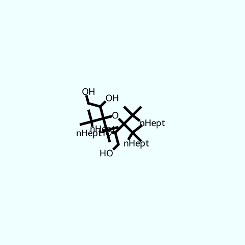 CCCCCCCC(C)(C)C(OC(C(O)CO)(C(C)(C)CCCCCCC)C(C)(C)CCCCCCC)(C(O)CO)C(C)(C)CCCCCCC